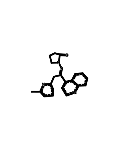 Cc1cccc(CC(=NN2CCCC2=O)c2ccnc3ccccc23)n1